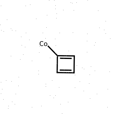 [Co][C]1=CC=C1